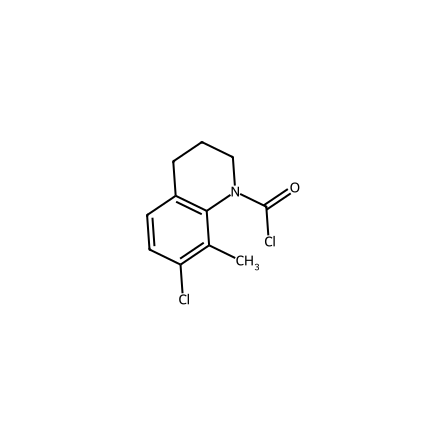 Cc1c(Cl)ccc2c1N(C(=O)Cl)CCC2